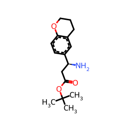 CC(C)(C)OC(=O)C[C@H](N)c1ccc2c(c1)CCCO2